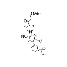 C=CC(=O)N1CCC=C(c2c(C3CC3)nc(N3CCN(C(=O)CCOC)C(C)C3)c(C#N)c2C)C1